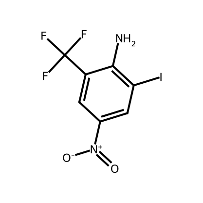 Nc1c(I)cc([N+](=O)[O-])cc1C(F)(F)F